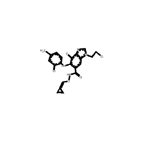 Cc1ccc(Nc2c(C(=O)NOC=C3CC3)cc3c(ncn3CCCl)c2F)c(Cl)c1